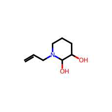 C=CCN1CCCC(O)C1O